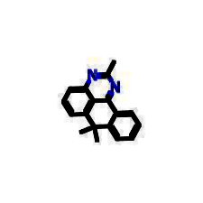 Cc1nc2c3c(cccc3n1)C(C)(C)c1ccccc1-2